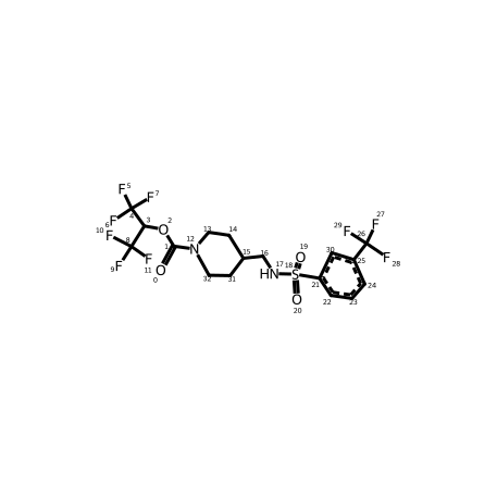 O=C(OC(C(F)(F)F)C(F)(F)F)N1CCC(CNS(=O)(=O)c2cccc(C(F)(F)F)c2)CC1